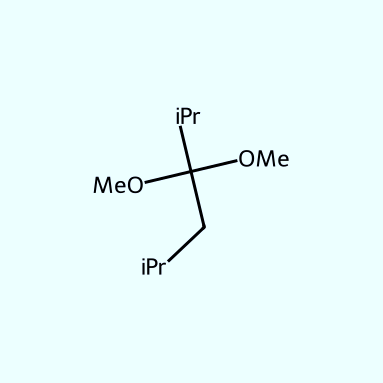 COC(CC(C)C)(OC)C(C)C